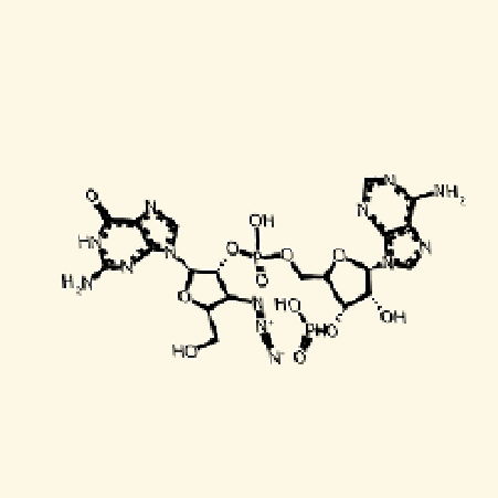 [N-]=[N+]=NC1[C@@H](OP(=O)(O)OC[C@H]2O[C@@H](n3cnc4c(N)ncnc43)[C@H](O)[C@@H]2O[PH](=O)O)[C@H](n2cnc3c(=O)[nH]c(N)nc32)O[C@@H]1CO